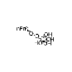 CCCOCCOCCOCC1C[C@H](O)C(O)[C@@H](O)[C@@H]1O